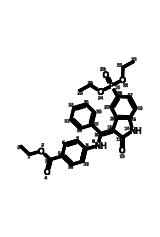 CCOC(=O)c1ccc(N/C(=C2\C(=O)Nc3ccc(P(=O)(OCC)OCC)cc32)c2ccccc2)cc1